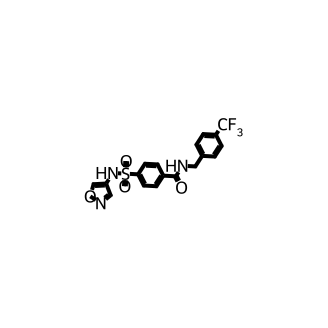 O=C(NCc1ccc(C(F)(F)F)cc1)c1ccc(S(=O)(=O)Nc2cnoc2)cc1